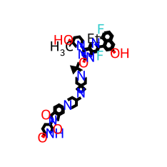 CCc1c(F)ccc2cc(O)cc(-c3ncc4c(N5CCC[C@@](C)(O)C5)nc(OCC5(CN6CCC7(CC6)CN(CC6CCN(c8ccc9c(c8)CN(C8CCC(=O)NC8=O)C9=O)CC6)C7)CC5)nc4c3F)c12